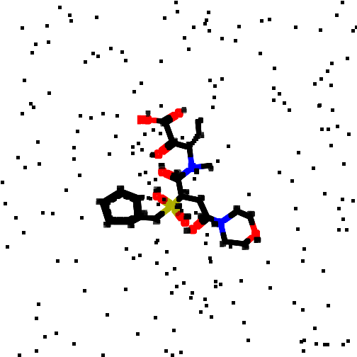 CC[C@@H](C(=O)C(=O)O)N(C)C(=O)C(CC(=O)N1CCOCC1)S(=O)(=O)Cc1ccccc1